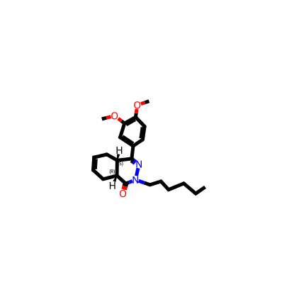 CCCCCCN1N=C(c2ccc(OC)c(OC)c2)[C@H]2CC=CC[C@H]2C1=O